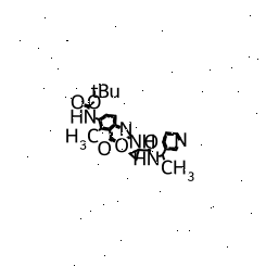 Cc1c(NC(=O)OC(C)(C)C)ccc2nc(NC3(C(=O)NC(C)c4cccnc4)CC3)oc(=O)c12